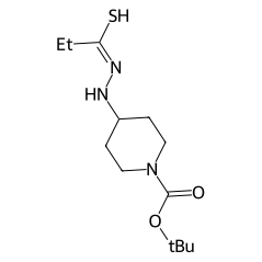 CC/C(S)=N\NC1CCN(C(=O)OC(C)(C)C)CC1